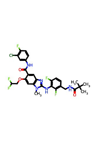 Cn1c(Nc2c(F)ccc(CNC(=O)C(C)(C)C)c2F)nc2cc(C(=O)Nc3ccc(F)c(Cl)c3)c(OCC(F)F)cc21